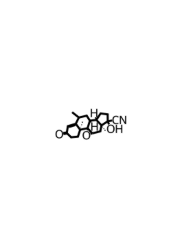 CC1C[C@H]2[C@@H]3CCC(O)(C#N)[C@@]3(C)CC3O[C@@]32[C@@]2(C)CCC(=O)C=C12